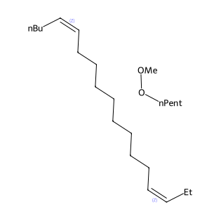 CC/C=C\CCCCCCCC/C=C\CCCC.CCCCCOOC